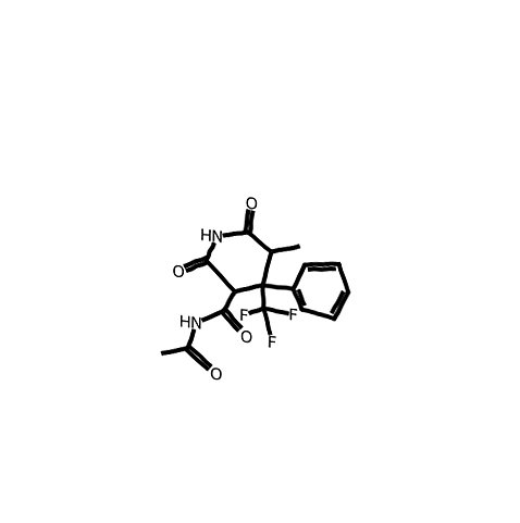 CC(=O)NC(=O)C1C(=O)NC(=O)C(C)C1(c1ccccc1)C(F)(F)F